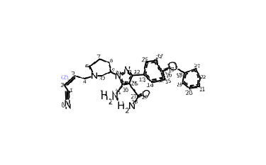 N#C/C=C\CN1CCCC(n2nc(-c3ccc(Oc4ccccc4)cc3)c(C(N)=O)c2N)C1